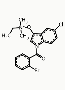 CC[N+](C)(C)Oc1cn(C(=O)c2ccccc2Br)c2ccc(Cl)cc12